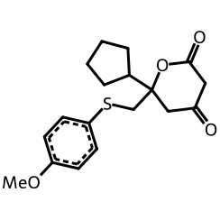 COc1ccc(SCC2(C3CCCC3)CC(=O)CC(=O)O2)cc1